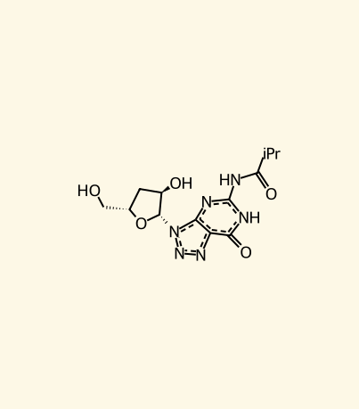 CC(C)C(=O)Nc1nc2c(nnn2[C@@H]2O[C@H](CO)C[C@H]2O)c(=O)[nH]1